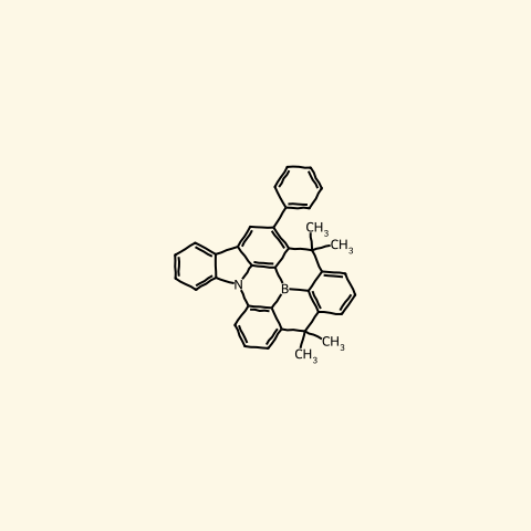 CC1(C)c2cccc3c2B2c4c1cccc4C(C)(C)c1c(-c4ccccc4)cc4c5ccccc5n-3c4c12